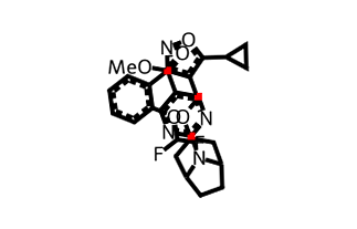 COC(=O)c1cnc(N2C3CCC2CC(OCc2c(-c4ccccc4OC(F)F)noc2C2CC2)C3)nc1